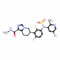 CNC(=O)c1ncn2c1CC[C@H](c1c(F)ccc(N(c3cc(Cl)cnc3C)[SH](=O)=O)c1F)C2